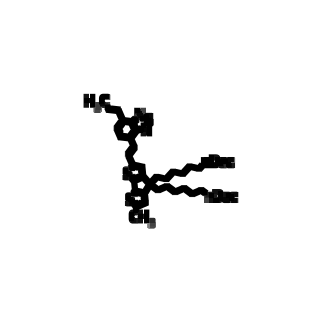 C/C=C/c1ccc(/C=C/c2cc3c(s2)-c2sc(C)cc2C3(CCCCCCCCCCCCCCCC)CCCCCCCCCCCCCCCC)c2nsnc12